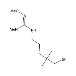 CN/C(=N\OC)NCCCC(C)(C)CS